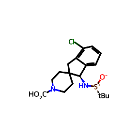 CC(C)(C)[S@@+]([O-])N[C@@H]1c2cccc(Cl)c2CC12CCN(C(=O)O)CC2